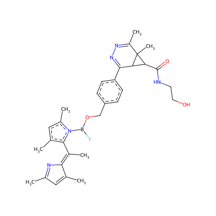 CC1=CC(C)=N/C1=C(/C)c1c(C)cc(C)n1B(F)OCc1ccc(C2=NN=C(C)C3(C)C(C(=O)NCCO)C23)cc1